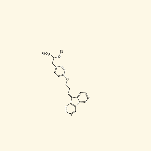 CCOC(=O)C(Cc1ccc(OCCC=C2c3ccncc3-c3cnccc32)cc1)OCC